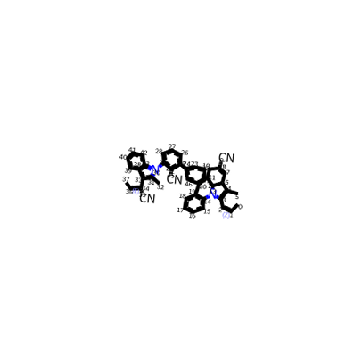 C/C=C\C1=C(C)C2C=C(C#N)CCC2N1c1ccccc1-c1cccc(-c2cccc(-n3c(C)c(/C(C#N)=C\C)c4ccccc43)c2C#N)c1